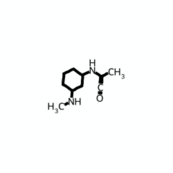 CNC1CCCC(NC(C)=C=O)C1